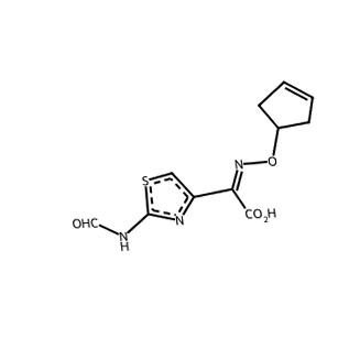 O=CNc1nc(C(=NOC2CC=CC2)C(=O)O)cs1